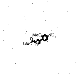 COc1cc([N+](=O)[O-])ccc1-c1cnn(C(=O)OC(C)(C)C)c1